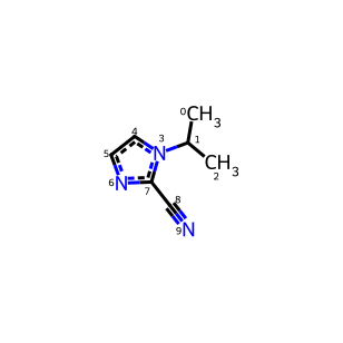 CC(C)n1ccnc1C#N